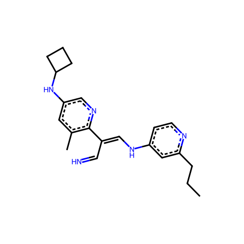 CCCc1cc(N/C=C(\C=N)c2ncc(NC3CCC3)cc2C)ccn1